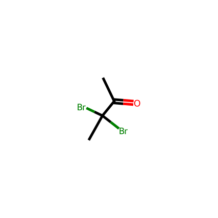 CC(=O)C(C)(Br)Br